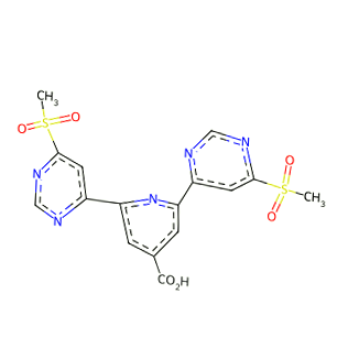 CS(=O)(=O)c1cc(-c2cc(C(=O)O)cc(-c3cc(S(C)(=O)=O)ncn3)n2)ncn1